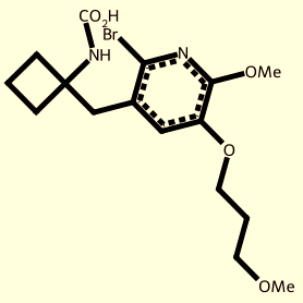 COCCCOc1cc(CC2(NC(=O)O)CCC2)c(Br)nc1OC